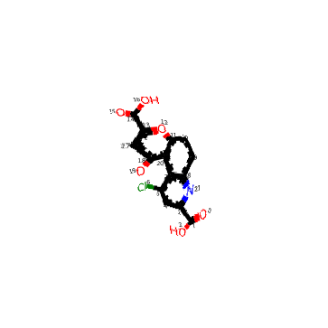 O=C(O)c1cc(Cl)c2c(ccc3oc(C(=O)O)cc(=O)c32)n1